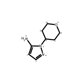 Nc1ccnn1C1CCOCC1